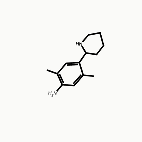 Cc1cc(C2CCCCN2)c(C)cc1N